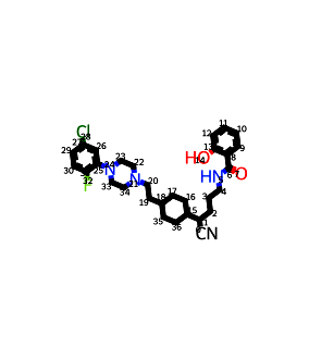 N#CC(CCCNC(=O)c1ccccc1O)C1CCC(CCN2CCN(c3cc(Cl)ccc3F)CC2)CC1